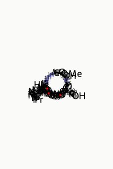 CO[C@H]1C(=O)[C@H](C)C[C@H](C)/C=C/C=C/C=C(/C)[C@H](Nc2nc3cc(-c4nn(C(C)C)c5ncnc(N)c45)ccc3o2)C[C@@H]2CC[C@@H](C)[C@@](O)(O2)C(=O)C(=O)N2CCCC[C@H]2C(=O)O[C@H](C(C)C[C@H]2CC[C@@H](O)CC2)CC(=O)[C@H](C)/C=C(\C)[C@H]1O